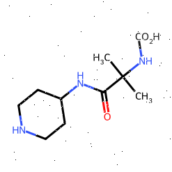 CC(C)(NC(=O)O)C(=O)NC1CCNCC1